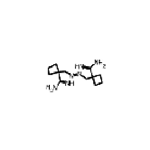 N=C(N)C1(CN=NCC2(C(=N)N)CCC2)CCC1